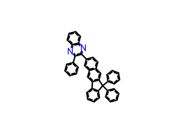 c1ccc(-c2nc3ccccc3nc2-c2ccc3cc4c(cc3c2)-c2ccccc2C4(c2ccccc2)c2ccccc2)cc1